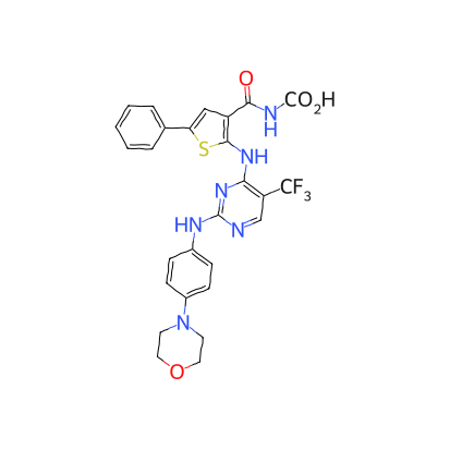 O=C(O)NC(=O)c1cc(-c2ccccc2)sc1Nc1nc(Nc2ccc(N3CCOCC3)cc2)ncc1C(F)(F)F